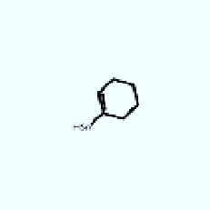 [SnH][C]1=CCCCC1